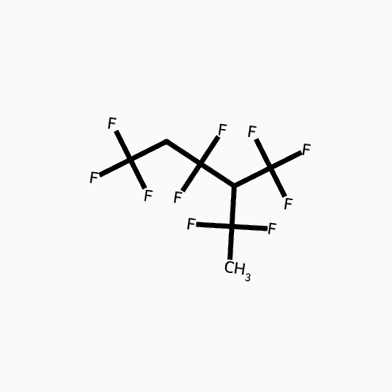 CC(F)(F)C(C(F)(F)F)C(F)(F)CC(F)(F)F